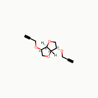 C#CCO[C@H]1CO[C@H]2[C@H]1OC[C@H]2OCC#C